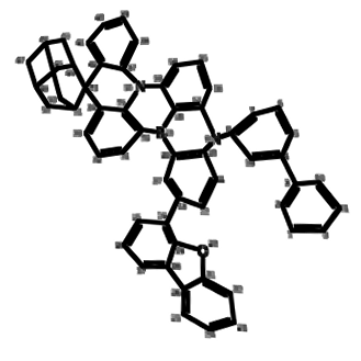 c1ccc(-c2cccc(N3c4ccc(-c5cccc6c5oc5ccccc56)cc4B4c5cccc6c5N(c5ccccc5C65C6CC7CC(C6)CC5C7)c5cccc3c54)c2)cc1